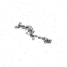 COc1ccc(C(=O)N2CCC3(CCN(CCc4ccc(-c5cc6c(-c7cc(F)cc(NC(=O)c8ccc(C(C)(C)OC(=O)CCNC(=O)CCNC(=O)OC(C)(C)C)cc8F)c7C)ncnc6[nH]5)cc4)CC3)CC2)cc1N1CCC(=O)NC1=O